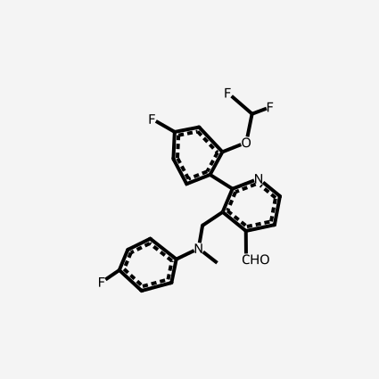 CN(Cc1c(C=O)ccnc1-c1ccc(F)cc1OC(F)F)c1ccc(F)cc1